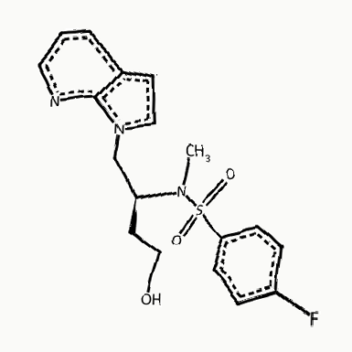 CN([C@@H](CCO)Cn1c[c]c2cccnc21)S(=O)(=O)c1ccc(F)cc1